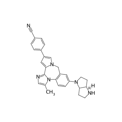 Cc1cnc2n1-c1ccc(N3CC[C@H]4NCCC43)cc1Cn1cc(-c3ccc(C#N)cc3)cc1-2